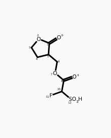 O=C1OCCC1COC(=O)C(F)S(=O)(=O)O